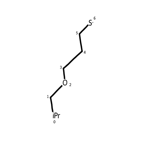 CC(C)COCCC[S]